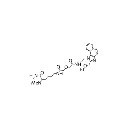 CCOCc1nc2cnc3ccccc3c2n1CCCNC(=O)COCC(=O)NCCCCC(NC)C(N)=O